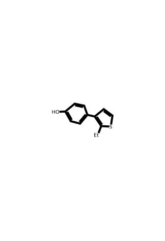 CCc1sccc1-c1ccc(O)cc1